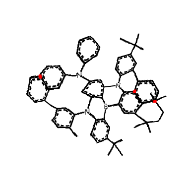 Cc1ccc(-c2ccccc2)cc1N1c2ccc(C(C)(C)C)cc2B2c3cc4c(cc3N(c3ccc(C(C)(C)C)cc3-c3ccccc3)c3cc(N(c5ccccc5)c5ccccc5)cc1c32)C(C)(C)CCC4(C)C